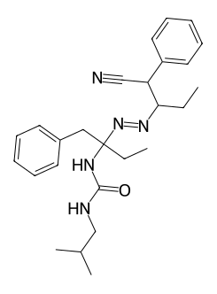 CCC(N=NC(CC)(Cc1ccccc1)NC(=O)NCC(C)C)C(C#N)c1ccccc1